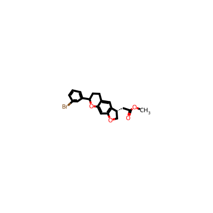 COC(=O)C[C@@H]1COc2cc3c(cc21)CCC(c1cccc(Br)c1)O3